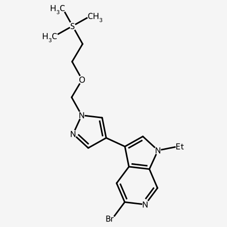 CCn1cc(-c2cnn(COCCS(C)(C)C)c2)c2cc(Br)ncc21